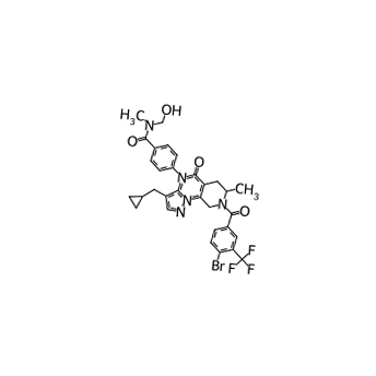 CC1Cc2c(n3ncc(CC4CC4)c3n(-c3ccc(C(=O)N(C)CO)cc3)c2=O)CN1C(=O)c1ccc(Br)c(C(F)(F)F)c1